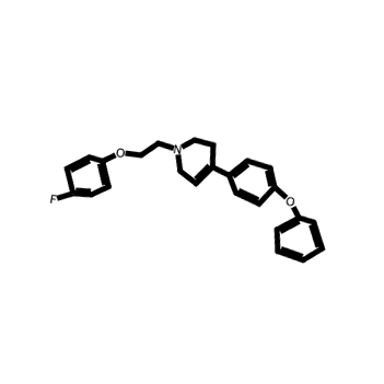 Fc1ccc(OCCN2CC=C(c3ccc(Oc4ccccc4)cc3)CC2)cc1